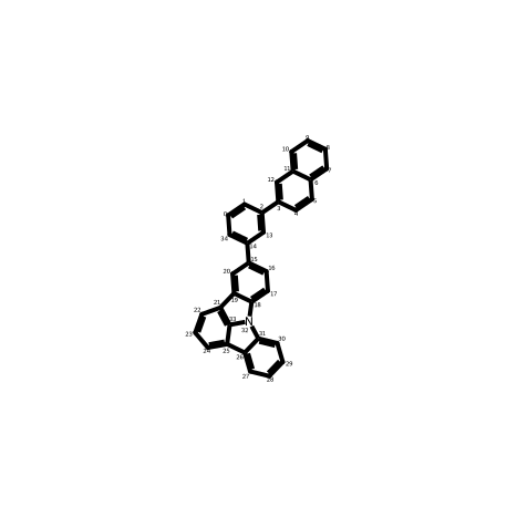 c1cc(-c2ccc3ccccc3c2)cc(-c2ccc3c(c2)c2cccc4c5ccccc5n3c42)c1